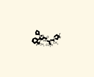 C[C@@H](C[C@@H](CC(=O)O)NC(=O)c1cc(-c2ccccc2C(C)(F)F)n(C2CCCC2)n1)N1CCC(F)(F)C1